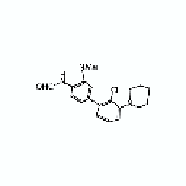 CNc1cc(-c2cccc(N3CCCCC3)c2Cl)ccc1NC=O